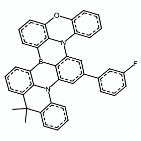 CC1(C)c2ccccc2N2c3cc(-c4cccc(F)c4)cc4c3B(c3cccc5c3N4c3ccccc3O5)c3cccc1c32